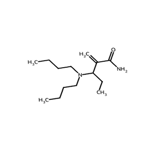 C=C(C(N)=O)C(CC)N(CCCC)CCCC